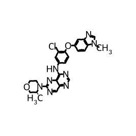 C[C@@H]1COCCN1c1ncc2ncnc(Nc3ccc(Oc4ccc5c(c4)ncn5C)c(Cl)c3)c2n1